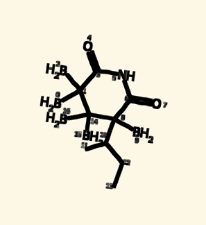 BC1(B)C(=O)NC(=O)C(B)(C(C)CC)C1(B)B